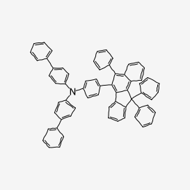 c1ccc(-c2ccc(N(c3ccc(-c4ccccc4)cc3)c3ccc(-c4c5c(c6ccccc6c4-c4ccccc4)C(c4ccccc4)(c4ccccc4)c4ccccc4-5)cc3)cc2)cc1